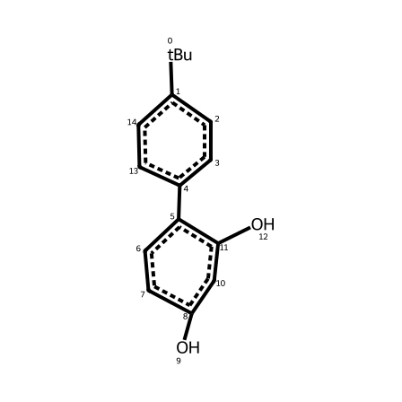 CC(C)(C)c1ccc(-c2ccc(O)cc2O)cc1